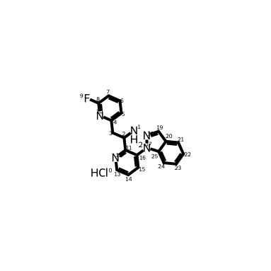 Cl.NC(Cc1cccc(F)n1)c1ncccc1-n1ncc2ccccc21